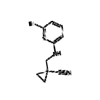 N#CC1(CNc2cccc(Br)n2)CC1